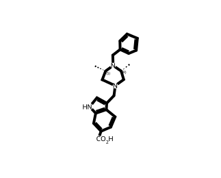 C[C@@H]1CN(Cc2c[nH]c3cc(C(=O)O)ccc23)C[C@H](C)N1Cc1ccccc1